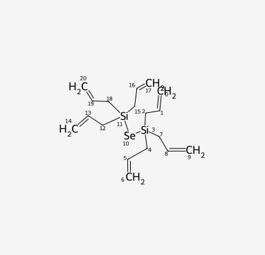 C=CC[Si](CC=C)(CC=C)[Se][Si](CC=C)(CC=C)CC=C